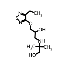 CCc1nsnc1OCC(O)CNC(C)(C)CO